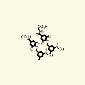 CCC(C)Nc1cc(C)cc(COc2c(Cl)cc(C(=O)NCC(=O)O)cc2Cl)c1.CCC(C)Nc1cc(C)cc(COc2c(Cl)cc(CC(=O)O)cc2Cl)c1